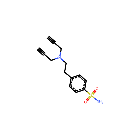 C#CCN(CC#C)CCc1ccc(S(N)(=O)=O)cc1